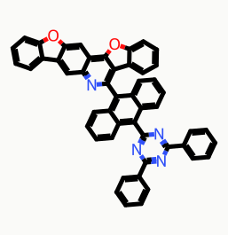 c1ccc(-c2nc(-c3ccccc3)nc(-c3c4ccccc4c(-c4nc5cc6c(cc5c5oc7ccccc7c45)oc4ccccc46)c4ccccc34)n2)cc1